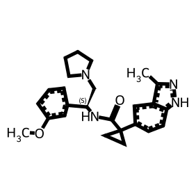 COc1cccc([C@@H](CN2CCCC2)NC(=O)C2(c3ccc4[nH]nc(C)c4c3)CC2)c1